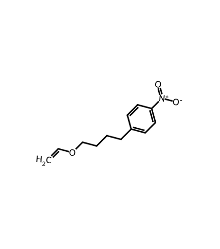 C=COCCCCc1ccc([N+](=O)[O-])cc1